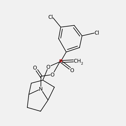 C=COC(=O)N1C2CCC1CC(OC(=O)c1cc(Cl)cc(Cl)c1)C2